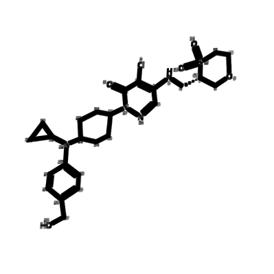 O=c1c(Cl)c(NC[C@H]2COCCS2(=O)=O)cnn1C1CCC(N(c2ccc(CO)cc2)C2CC2)CC1